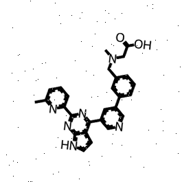 Cc1cccc(-c2nc(-c3cncc(-c4cccc(CN(C)CC(=O)O)c4)c3)c3cc[nH]c3n2)n1